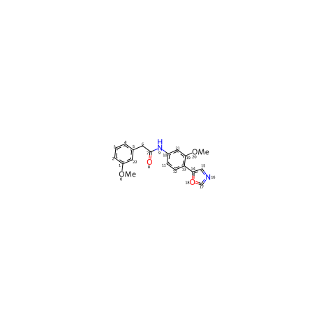 COc1cccc(CC(=O)Nc2ccc(-c3cnco3)c(OC)c2)c1